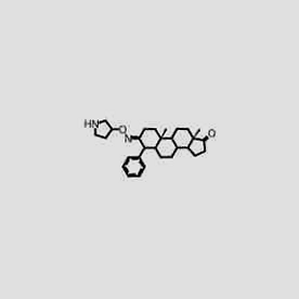 C[C@]12CCC(=NOC3CCNC3)C(c3ccccc3)C1CCC1C2CC[C@]2(C)C(=O)CCC12